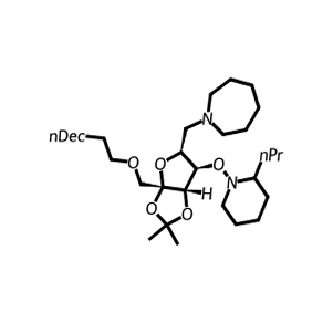 CCCCCCCCCCCCOC[C@@]12O[C@@H](CN3CCCCCC3)[C@@H](ON3CCCCC3CCC)[C@@H]1OC(C)(C)O2